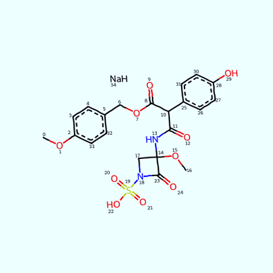 COc1ccc(COC(=O)C(C(=O)NC2(OC)CN(S(=O)(=O)O)C2=O)c2ccc(O)cc2)cc1.[NaH]